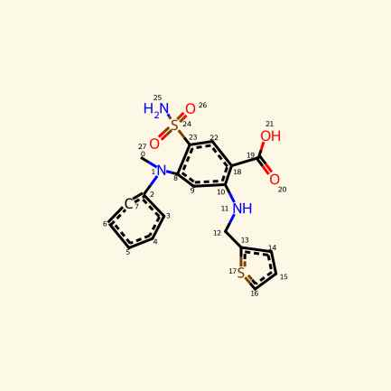 CN(c1ccccc1)c1cc(NCc2cccs2)c(C(=O)O)cc1S(N)(=O)=O